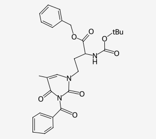 Cc1cn(CCC(NC(=O)OC(C)(C)C)C(=O)OCc2ccccc2)c(=O)n(C(=O)c2ccccc2)c1=O